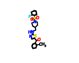 Cc1ccccc1C(=O)c1cnc(NCC2CCN(S(=O)(=O)c3ccccc3F)CC2)s1